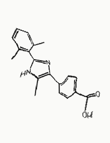 Cc1cccc(C)c1-c1nc(-c2ccc(C(=O)O)cc2)c(C)[nH]1